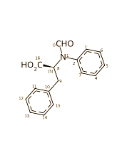 O=CN(c1ccccc1)[C@@H](Cc1ccccc1)C(=O)O